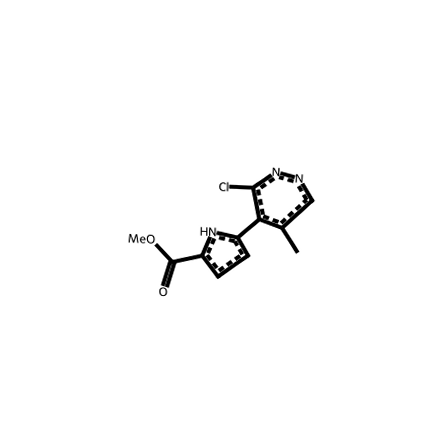 COC(=O)c1ccc(-c2c(C)cnnc2Cl)[nH]1